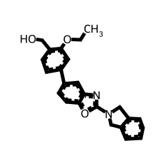 CCOc1cc(-c2ccc3oc(N4Cc5ccccc5C4)nc3c2)ccc1CO